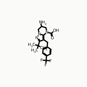 CC(C)(C)c1nn2c(c1Cc1ccc(C(F)(F)F)cc1)N(C(=O)O)CC(N)C2